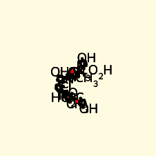 C/C(=C/n1nc(-c2cccc(-c3cccc(-c4cc5c(=O)n(CCN6CC(O)CCC6C(=O)O)c(C)cn5n4)c3Cl)c2Cl)cc1C)N(C=O)CCN1CC(O)CCC1C(=O)O